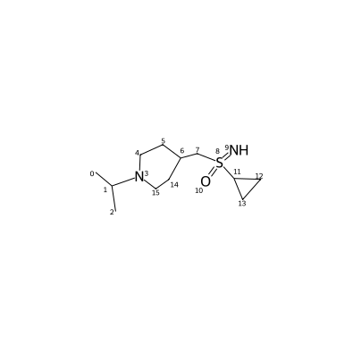 CC(C)N1CCC(CS(=N)(=O)C2CC2)CC1